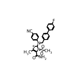 CC1=C(C(N)=O)N(S(C)(=O)=O)C(N(Cc2ccc(-c3ccc(F)cc3)cc2)c2ccc(C#N)cc2)S1